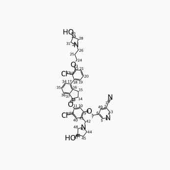 N#Cc1cncc(COc2cc(O[C@H]3CCc4c(-c5cccc(OCCCN6CC(O)C6)c5Cl)cccc43)c(Cl)cc2CN2CC[C@@H](O)C2)c1